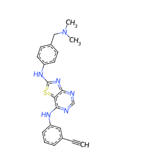 C#Cc1cccc(Nc2ncnc3nc(Nc4ccc(CN(C)C)cc4)sc23)c1